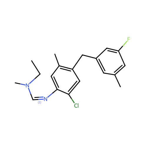 CCN(C)/C=N\c1cc(C)c(Cc2cc(C)cc(F)c2)cc1Cl